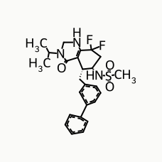 CC(C)N1CNC2=C(C1=O)[C@@H](Cc1cccc(-c3ccccc3)c1)[C@@H](NS(C)(=O)=O)CC2(F)F